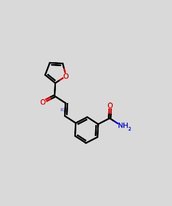 NC(=O)c1cccc(/C=C/C(=O)c2ccco2)c1